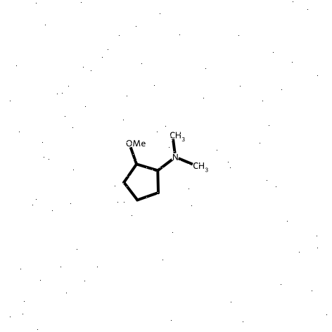 COC1CCCC1N(C)C